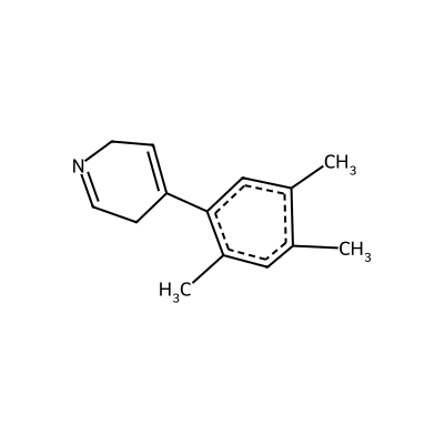 Cc1cc(C)c(C2=CCN=CC2)cc1C